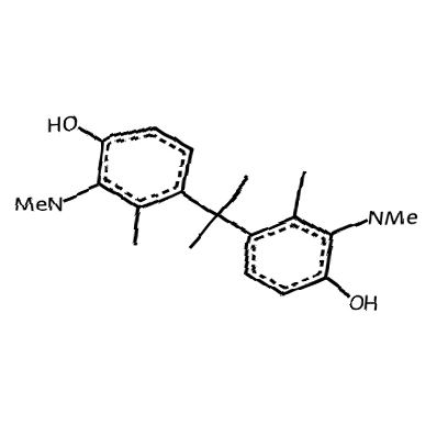 CNc1c(O)ccc(C(C)(C)c2ccc(O)c(NC)c2C)c1C